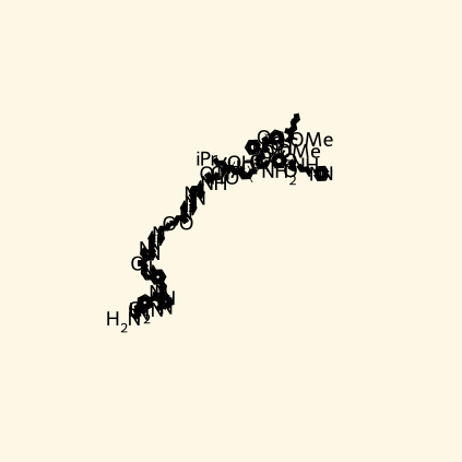 C/C=C/C=C(\C)[C@H](C[C@@H]1CC[C@@H](C)[C@](O)(C(=O)C(=O)N2CCCC[C@H]2C(=O)O[C@@H](C[C@@H](O)[C@H](C)/C=C(\C)[C@@H](O)[C@@H](O)/C(=N/OCC(=O)NCc2cnc(N3CCN(C(=O)CCOCCN4CCN(c5ncc(C(=O)N6CCc7cc(Cn8nc(-c9ccc%10oc(N)nc%10c9)c9c(N)ncnc98)ccc7C6)cn5)CC4)CC3)nc2)[C@H](C)CC(C)C)[C@H](N)C[C@@H]2CC[C@@H](OC(=O)NCCCN3CCN(C)CC3)[C@H](OC)C2)O1)OC